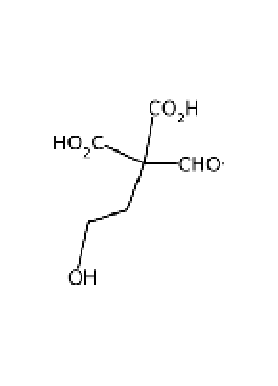 O=[C]C(CCO)(C(=O)O)C(=O)O